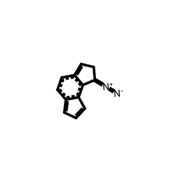 [N-]=[N+]=C1CC=c2ccc3c(c21)C=CC=3